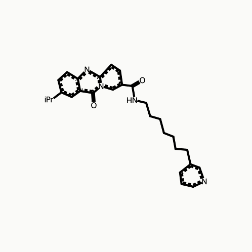 CC(C)c1ccc2nc3ccc(C(=O)NCCCCCCCc4cccnc4)cn3c(=O)c2c1